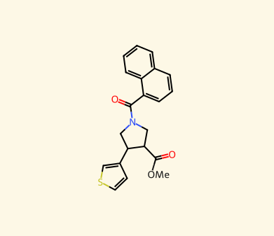 COC(=O)C1CN(C(=O)c2cccc3ccccc23)CC1c1ccsc1